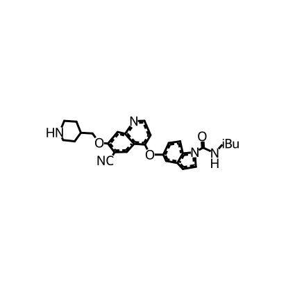 CCC(C)NC(=O)n1ccc2cc(Oc3ccnc4cc(OCC5CCNCC5)c(C#N)cc34)ccc21